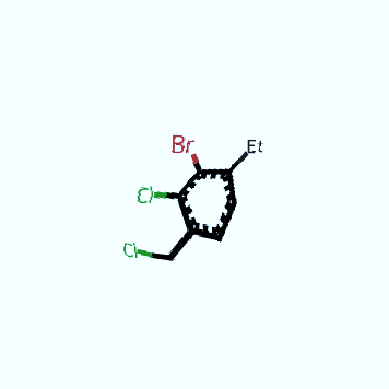 CCc1ccc(CCl)c(Cl)c1Br